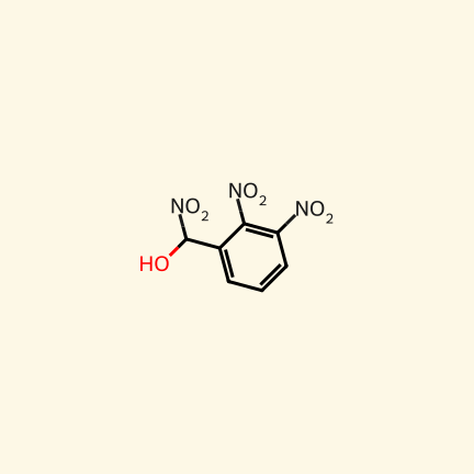 O=[N+]([O-])c1cccc(C(O)[N+](=O)[O-])c1[N+](=O)[O-]